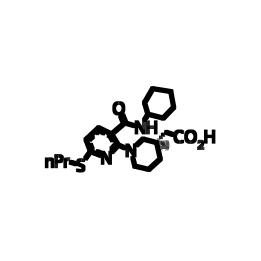 CCCSc1ccc(C(=O)NC2CCCCC2)c(N2CCC[C@@H](CC(=O)O)C2)n1